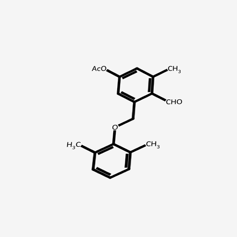 CC(=O)Oc1cc(C)c(C=O)c(COc2c(C)cccc2C)c1